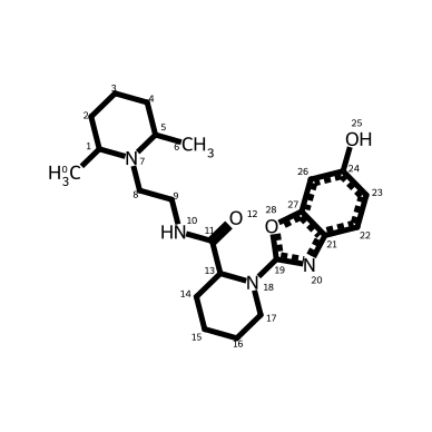 CC1CCCC(C)N1CCNC(=O)C1CCCCN1c1nc2ccc(O)cc2o1